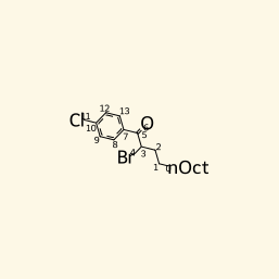 CCCCCCCCCCC(Br)C(=O)c1ccc(Cl)cc1